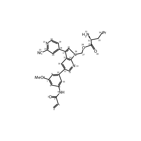 C=CC(=O)Nc1cc(OC)cc(-c2cnc3c(c2)c(-c2ccnc(C#N)c2)cn3COC(=O)[C@@H](N)CC(C)C)c1